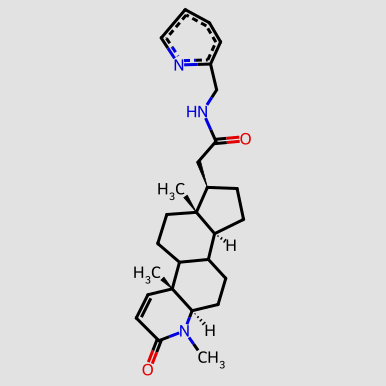 CN1C(=O)C=C[C@]2(C)C3CC[C@]4(C)[C@@H](CC(=O)NCc5ccccn5)CC[C@H]4C3CC[C@@H]12